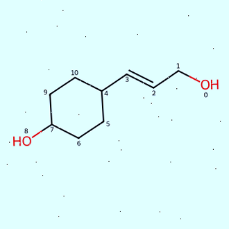 OCC=CC1CCC(O)CC1